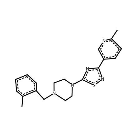 Cc1ccc(-c2nsc(N3CCN(Cc4ccccc4C)CC3)n2)cn1